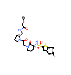 CCOCC(=O)NC[C@@H]1CCCN1C(=O)CN1CCC[C@H](NS(=O)(=O)c2cc3cc(Cl)ccc3s2)C1=O